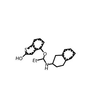 CCC(NC1CCc2ccccc2C1)Oc1cccc2sc(O)cc12